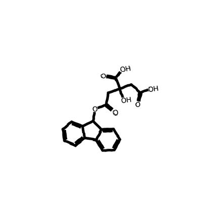 O=C(O)CC(O)(CC(=O)OC1c2ccccc2-c2ccccc21)C(=O)O